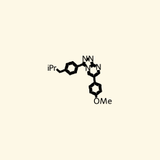 COc1ccc(-c2cnc3nnc(-c4ccc(CC(C)C)cc4)n3c2)cc1